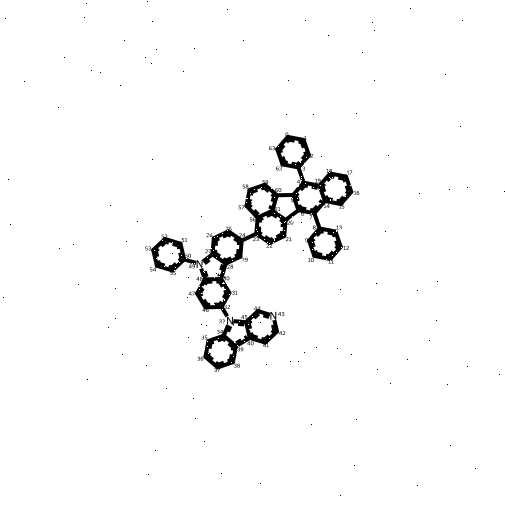 c1ccc(-c2c3c(c(-c4ccccc4)c4ccccc24)-c2ccc(-c4ccc5c(c4)c4cc(-n6c7ccccc7c7ccncc76)ccc4n5-c4ccccc4)c4cccc-3c24)cc1